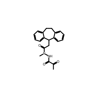 CC(=O)C(=O)NN(C)C(=O)CC1c2ccccc2CCc2ccccc21